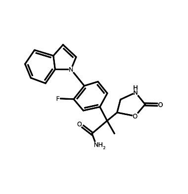 CC(C(N)=O)(c1ccc(-n2ccc3ccccc32)c(F)c1)C1CNC(=O)O1